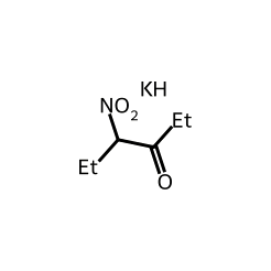 CCC(=O)C(CC)[N+](=O)[O-].[KH]